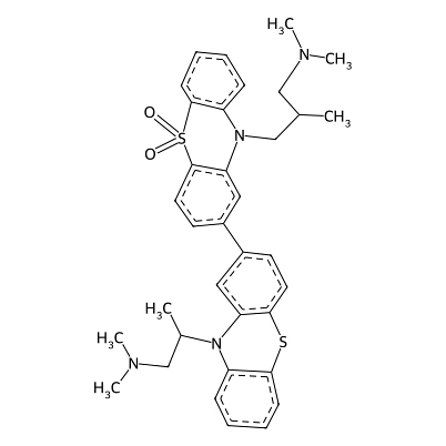 CC(CN(C)C)CN1c2ccccc2S(=O)(=O)c2ccc(-c3ccc4c(c3)N(C(C)CN(C)C)c3ccccc3S4)cc21